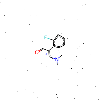 CN(C)/C=C(/C=O)c1ccccc1F